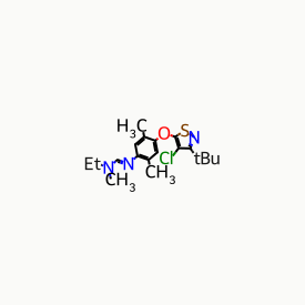 CCN(C)C=Nc1cc(C)c(Oc2snc(C(C)(C)C)c2Cl)cc1C